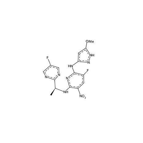 COc1cc(Nc2nc(N[C@@H](C)c3ncc(F)cn3)c([N+](=O)[O-])cc2F)n[nH]1